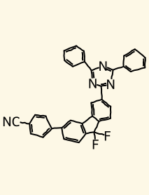 N#Cc1ccc(-c2ccc3c(c2)-c2cc(-c4nc(-c5ccccc5)nc(-c5ccccc5)n4)ccc2C3(F)F)cc1